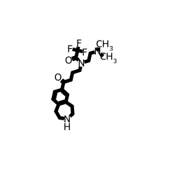 CN(C)CCN(CCCC(=O)c1ccc2c(c1)CCNCC2)C(=O)C(F)(F)F